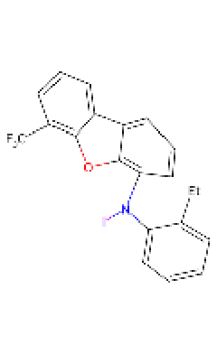 CCc1ccccc1N(I)c1cccc2c1oc1c(C(F)(F)F)cccc12